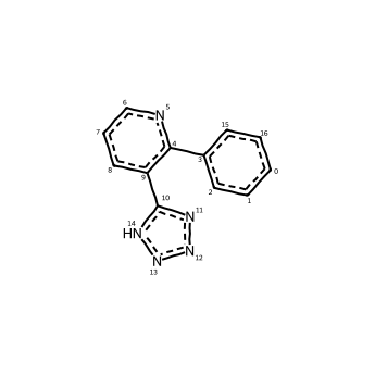 c1ccc(-c2ncccc2-c2nnn[nH]2)cc1